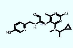 Cc1nc(Cl)nc(N(C)C(C)C2CC2)c1/N=C(\C=O)NCc1ccc(S)cn1